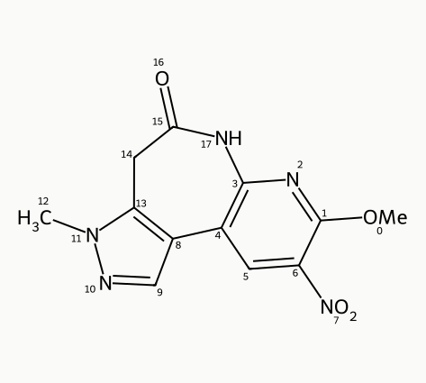 COc1nc2c(cc1[N+](=O)[O-])-c1cnn(C)c1CC(=O)N2